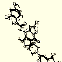 CNC(=O)c1ccnc(N2CCC3(CC2)CC(C)c2c3c(=O)n3nc(Br)nc3n2CC(=O)Nc2ccc(C(F)(F)F)cc2Cl)c1